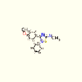 CN=c1nc(-c2ccc(OC)cc2)n(-c2ccccc2)s1